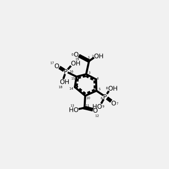 O=C(O)c1cc(P(=O)(O)O)c(C(=O)O)cc1P(=O)(O)O